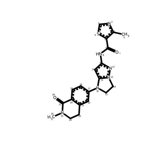 Cc1ncsc1C(=O)Nc1cc2n(n1)CCN2c1ccc2c(c1)CCN(C)C2=O